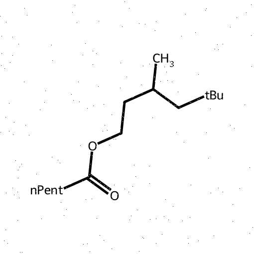 CCCCCC(=O)OCCC(C)CC(C)(C)C